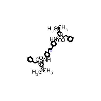 CN(C)[C@H]1C[C@@H](C(=O)Nc2ccc(/C=C/c3ccc(NC(=O)[C@@H]4C[C@H](N(C)C)CN4C(=O)Cc4ccccc4)cc3)cc2)N(C(=O)Cc2ccccc2)C1